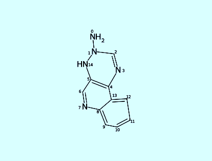 NN1C=Nc2c(cnc3ccccc23)N1